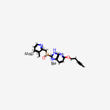 CC#CCCOc1ccc2nc([S+]([O-])Cc3nccc(OC)c3C)[nH]c2n1.[Na]